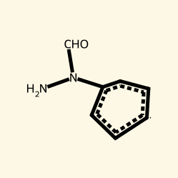 NN(C=O)c1cc[c]cc1